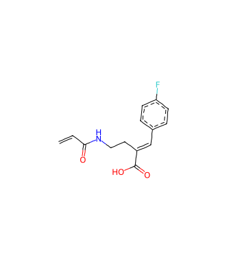 C=CC(=O)NCC/C(=C\c1ccc(F)cc1)C(=O)O